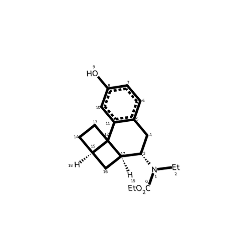 CCOC(=O)N(CC)[C@H]1Cc2ccc(O)cc2C23CC[C@@H]2C[C@H]13